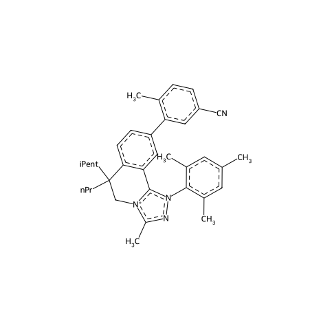 CCCC(C)C1(CCC)C[n+]2c(C)nn(-c3c(C)cc(C)cc3C)c2-c2cc(-c3cc(C#N)ccc3C)ccc21